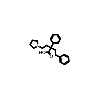 O=C(O)C(CCc1ccccc1)(CCN1CCCC1)c1ccccc1